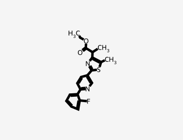 CCOC(=O)C(C)c1nc(-c2ccc(-c3ccccc3F)nc2)sc1C